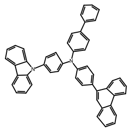 c1ccc(-c2ccc(N(c3ccc(-c4cc5ccccc5c5ccccc45)cc3)c3ccc(-n4c5ccccc5c5ccccc54)cc3)cc2)cc1